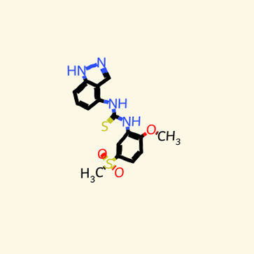 COc1ccc(S(C)(=O)=O)cc1NC(=S)Nc1cccc2[nH]ncc12